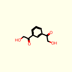 O=C(CO)C1=C=C=CC(C(=O)CO)=C1